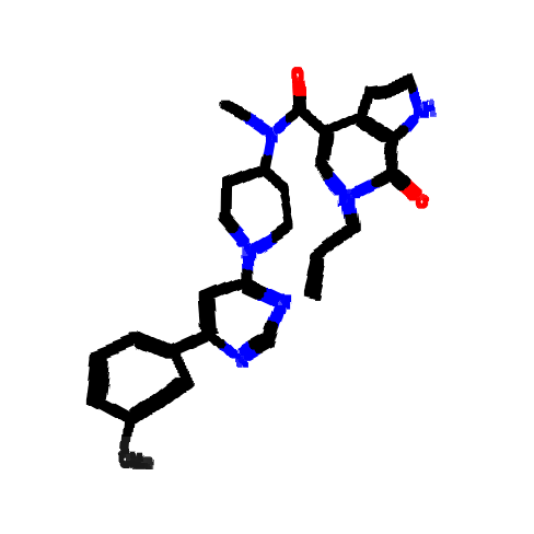 C=CCn1cc(C(=O)N(C)C2CCN(c3cc(-c4cccc(OC)c4)ncn3)CC2)c2cc[nH]c2c1=O